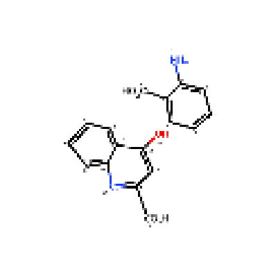 Nc1ccccc1C(=O)O.O=C(O)c1cc(O)c2ccccc2n1